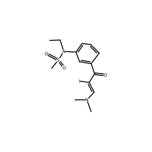 CCN(c1cccc(C(=O)C(I)=CN(C)C)c1)S(C)(=O)=O